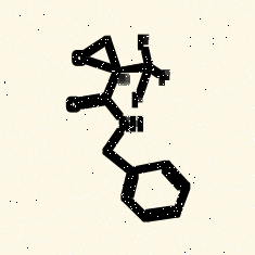 O=C(NCc1ccccc1)[C@@]1(C(F)(F)F)CO1